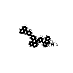 CC1(C)c2ccccc2-c2c(-c3cccc(N(c4ccc(-c5ccc(-c6cccc7ccccc67)cc5)cc4)c4cccc5ccccc45)c3)cccc21